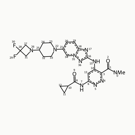 CNC(=O)c1nnc(NC(=O)C2CC2)cc1Nc1nc2ccc(N3CCC(N4CC(F)(F)C4)CC3)cn2n1